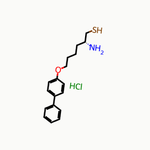 Cl.N[C@@H](CS)CCCCOc1ccc(-c2ccccc2)cc1